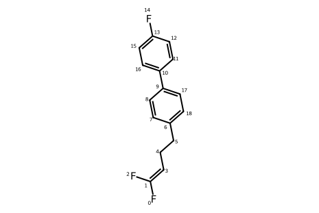 FC(F)=CCCc1ccc(-c2ccc(F)cc2)cc1